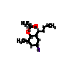 CCCCC1CC(I)CC(C)C1OC(C)=O